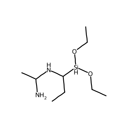 CCO[SiH](OCC)C(CC)NC(C)N